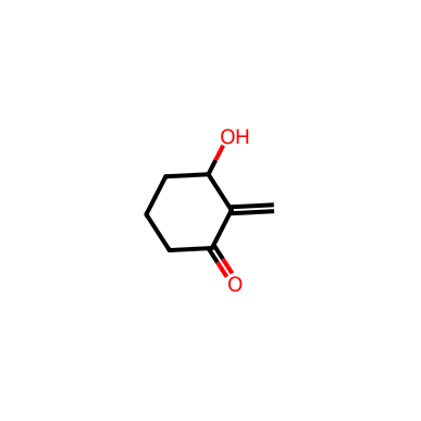 C=C1C(=O)CCCC1O